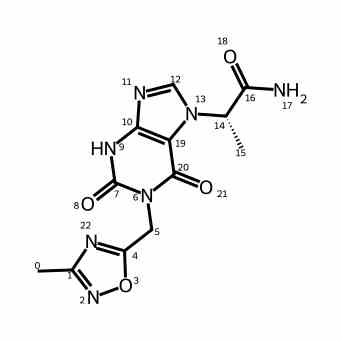 Cc1noc(Cn2c(=O)[nH]c3ncn([C@@H](C)C(N)=O)c3c2=O)n1